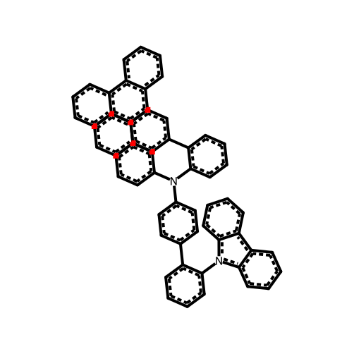 c1cc(-c2cc3ccccc3c3ccccc23)cc(N(c2ccc(-c3ccccc3-n3c4ccccc4c4ccccc43)cc2)c2ccccc2-c2ccc3ccccc3c2)c1